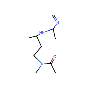 C=NC(C)NC(C)CCN(C)C(C)=O